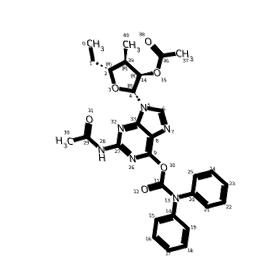 CC[C@H]1O[C@@H](n2cnc3c(OC(=O)N(c4ccccc4)c4ccccc4)nc(NC(C)=O)nc32)[C@H](OC(C)=O)[C@@H]1C